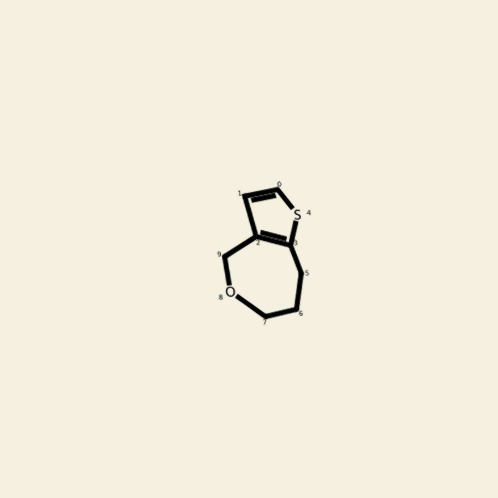 c1cc2c(s1)CCCOC2